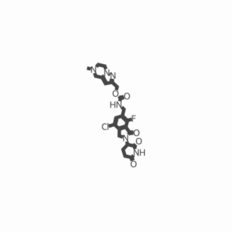 CN1CCn2nc(COC(=O)NCc3cc(Cl)c4c(c3F)C(=O)N(C3CCC(=O)NC3=O)C4)cc2C1